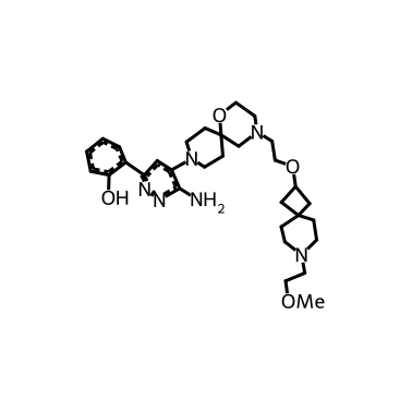 COCCN1CCC2(CC1)CC(OCCN1CCOC3(CCN(c4cc(-c5ccccc5O)nnc4N)CC3)C1)C2